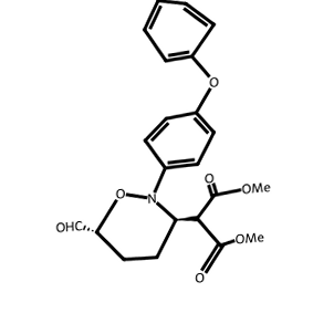 COC(=O)C(C(=O)OC)[C@H]1CC[C@H](C=O)ON1c1ccc(Oc2ccccc2)cc1